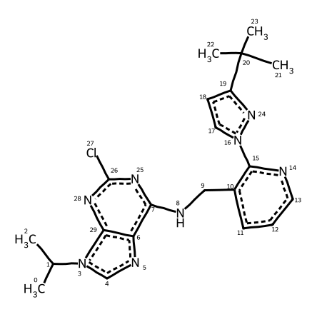 CC(C)n1cnc2c(NCc3cccnc3-n3ccc(C(C)(C)C)n3)nc(Cl)nc21